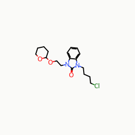 O=c1n(CCCCCl)c2ccccc2n1CCOC1CCCCO1